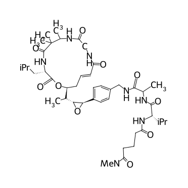 CNC(=O)CCCC(=O)N[C@H](C(=O)NC(C)C(=O)NCc1ccc([C@H]2O[C@@H]2C(C)[C@@H]2C/C=C/C(=O)NCC(=O)NC(C)C(C)(C)C(=O)N[C@@H](CC(C)C)C(=O)O2)cc1)C(C)C